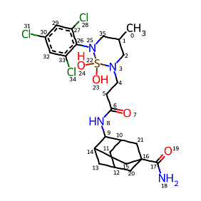 CC1CN(CCC(=O)NC2C3CC4CC2CC(C(N)=O)(C4)C3)S(O)(O)N(c2c(Cl)cc(Cl)cc2Cl)C1